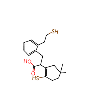 CC1(C)CCC(S)=C(C(Cc2ccccc2CCS)C(=O)O)C1